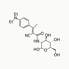 CCN(CC)c1ccc(/C(C)=C(\C#N)C(=O)N[C@H]2C(O)O[C@H](CO)[C@@H](O)[C@@H]2O)cc1